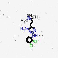 CC(CCc1cnc(Nc2cccc(Cl)c2Cl)nc1N)N(C)C